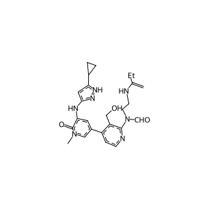 C=C(CC)NCCN(C=O)c1nccc(-c2cc(Nc3cc(C4CC4)[nH]n3)c(=O)n(C)c2)c1CO